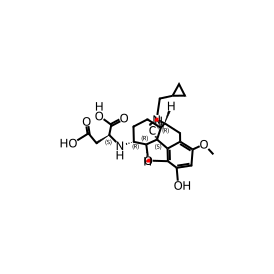 COc1cc(O)c2c3c1C[C@@H]1[C@@H]4CC[C@@H](N[C@@H](CC(=O)O)C(=O)O)[C@H](O2)[C@]34CCN1CC1CC1